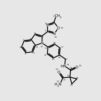 Cc1nc(-c2cc3ccccc3n2-c2ccc(CNC(=O)C3(C(N)=O)CC3)cc2)no1